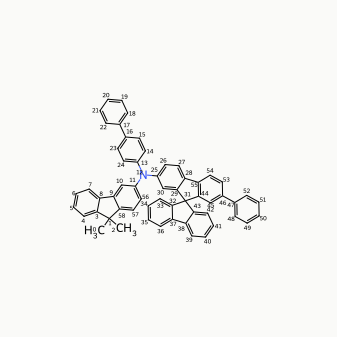 CC1(C)c2ccccc2-c2cc(N(c3ccc(-c4ccccc4)cc3)c3ccc4c(c3)C3(c5ccccc5-c5ccccc53)c3cc(-c5ccccc5)ccc3-4)ccc21